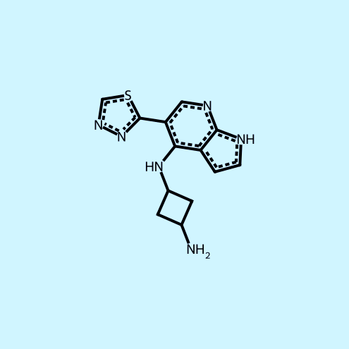 NC1CC(Nc2c(-c3nncs3)cnc3[nH]ccc23)C1